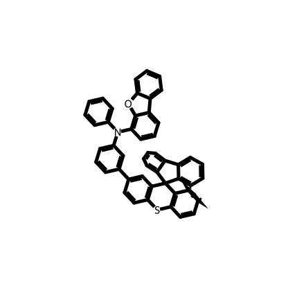 c1ccc(N(c2cccc(-c3ccc4c(c3)C3(c5ccccc5-c5ccccc53)c3c(ccc5ccccc35)S4)c2)c2cccc3c2oc2ccccc23)cc1